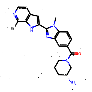 CCc1nccc2cc(-c3nc4cc(C(=O)N5CCC[C@@H](N)C5)ccc4n3C)[nH]c12